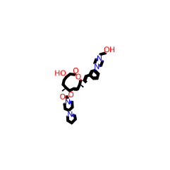 C/C(=C\c1cccc(N2CCN(CCO)CC2)c1)[C@H]1OC(=O)C[C@H](O)CC[C@H](C)[C@@H](OC(=O)N2CCC(N3CCCCC3)CC2)/C=C/[C@@H]1C